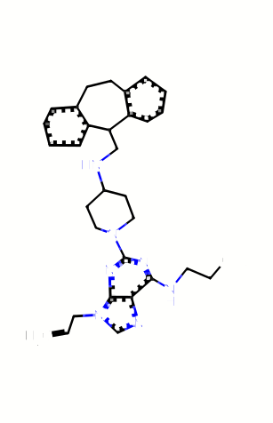 C=CCn1cnc2c(NCCC)nc(N3CCC(NCC4c5ccccc5CCc5ccccc54)CC3)nc21